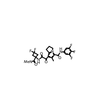 CNC(=O)C1(NC(=O)C(=O)c2c(C)c(C(=O)Nc3cc(F)c(F)c(F)c3)n3c2CCC3)CC(F)(F)C1